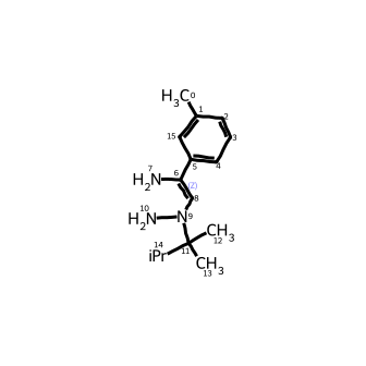 Cc1cccc(/C(N)=C/N(N)C(C)(C)C(C)C)c1